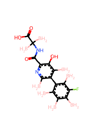 Bc1nc(C(=O)NC(B)(B)C(=O)O)c(O)c(B)c1-c1c(B)c(B)c(B)c(F)c1B